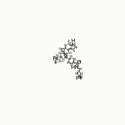 COc1cc(C)c2[nH]ccc2c1CN1CCC2(C[C@H]1c1ccc(C(=O)NCC3CC(F)(F)C3)cc1)CC(F)(F)C2